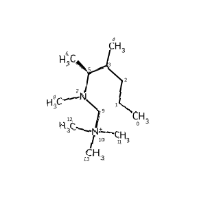 CCCC(C)[C@H](C)N(C)C[N+](C)(C)C